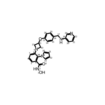 O=C(NO)c1cccc(N2CC(Oc3ccc(CNc4cccnc4)cc3)C2)c1-n1cccc1